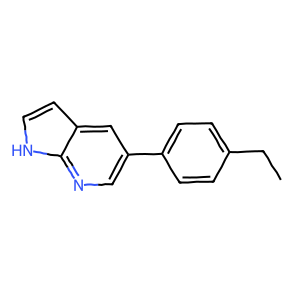 CCc1ccc(-c2cnc3[nH]ccc3c2)cc1